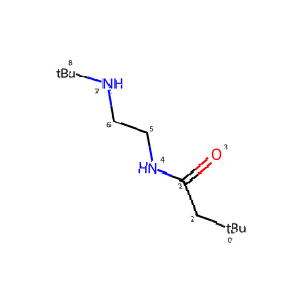 CC(C)(C)CC(=O)NCCNC(C)(C)C